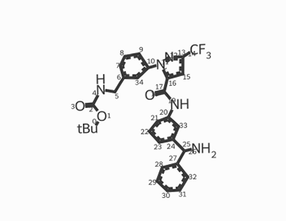 CC(C)(C)OC(=O)NCc1cccc(-n2nc(C(F)(F)F)cc2C(=O)Nc2cccc(C(N)c3ccccc3)c2)c1